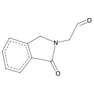 O=CCN1Cc2ccccc2C1=O